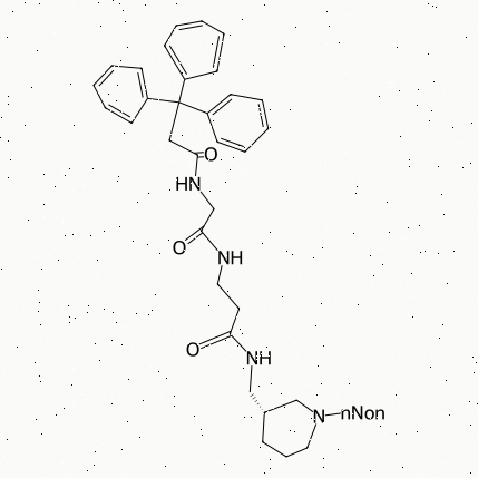 CCCCCCCCCN1CCC[C@H](CNC(=O)CCNC(=O)CNC(=O)CC(c2ccccc2)(c2ccccc2)c2ccccc2)C1